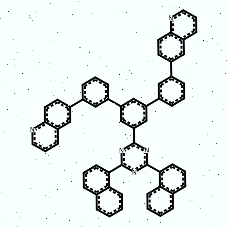 c1cc(-c2cc(-c3cccc(-c4ccc5ncccc5c4)c3)cc(-c3nc(-c4cccc5ccccc45)nc(-c4cccc5ccccc45)n3)c2)cc(-c2ccc3ncccc3c2)c1